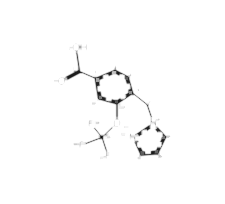 O=C(O)c1ccc(Cn2cccn2)c(OC(F)(F)F)c1